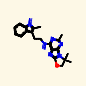 Cc1nc(NCCc2c(C)[nH]c3ccccc23)c2nc3n(c2n1)C(C)(C)CO3